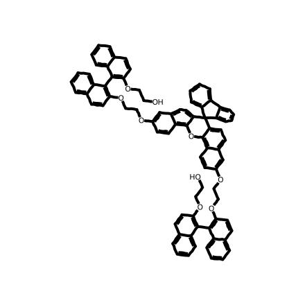 OCCOc1ccc2ccccc2c1-c1c(OCCOc2ccc3c4c(ccc3c2)C2(c3ccccc3-c3ccccc32)c2ccc3cc(OCCOc5ccc6ccccc6c5-c5c(OCCO)ccc6ccccc56)ccc3c2O4)ccc2ccccc12